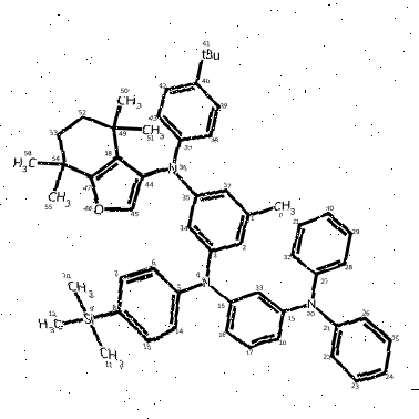 Cc1cc(N(c2ccc([Si](C)(C)C)cc2)c2cccc(N(c3ccccc3)c3ccccc3)c2)cc(N(c2ccc(C(C)(C)C)cc2)c2coc3c2C(C)(C)CCC3(C)C)c1